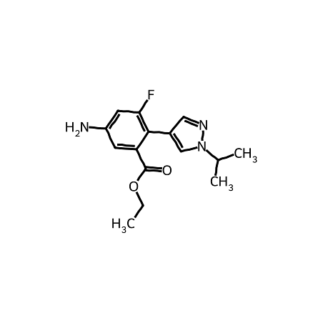 CCOC(=O)c1cc(N)cc(F)c1-c1cnn(C(C)C)c1